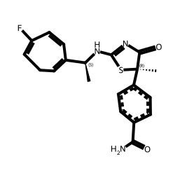 C[C@H](NC1=NC(=O)[C@@](C)(c2ccc(C(N)=O)cc2)S1)C1=CCC=C(F)C=C1